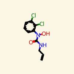 C=CCNC(=O)N(O)c1cccc(Cl)c1Cl